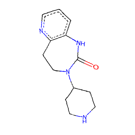 O=C1Nc2cccnc2CCN1C1CCNCC1